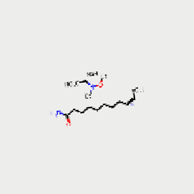 CCCCCCCC/C=C\CCCCCCCC(N)=O.CCON(CC)CC(=O)O.[NaH]